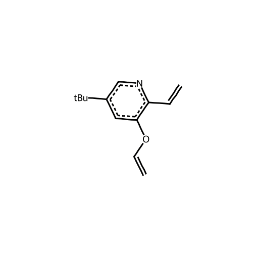 C=COc1cc(C(C)(C)C)cnc1C=C